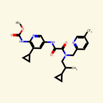 CC(CN(Cc1ccc(C(F)(F)F)cn1)C(=O)C(=O)Nc1cnc(NC(=O)OC(C)(C)C)c(C2CC2)c1)C1CC1